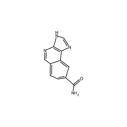 NC(=O)c1ccc2cnc3[nH]cnc3c2c1